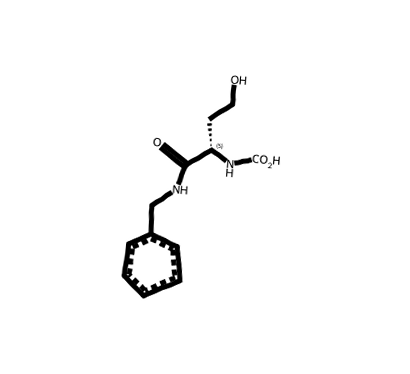 O=C(O)N[C@@H](CCO)C(=O)NCc1ccccc1